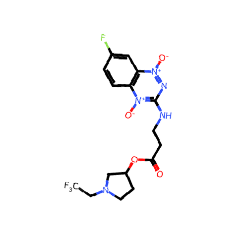 O=C(CCNc1n[n+]([O-])c2cc(F)ccc2[n+]1[O-])OC1CCN(CC(F)(F)F)C1